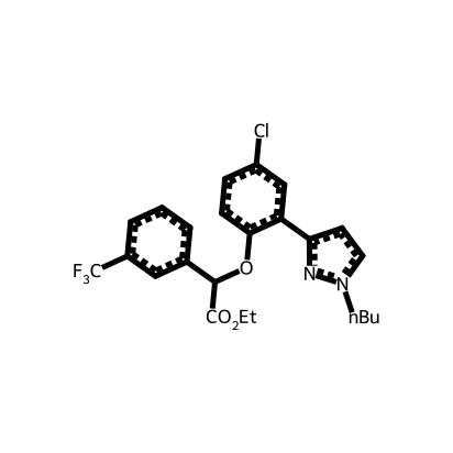 CCCCn1ccc(-c2cc(Cl)ccc2OC(C(=O)OCC)c2cccc(C(F)(F)F)c2)n1